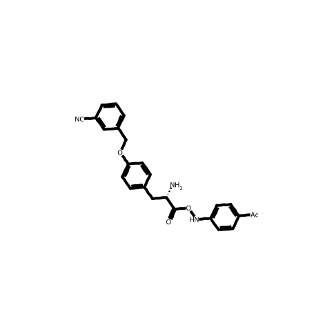 CC(=O)c1ccc(NOC(=O)[C@@H](N)Cc2ccc(OCc3cccc(C#N)c3)cc2)cc1